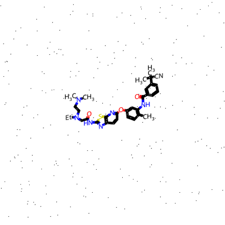 CCN(CCN(C)C)CC(=O)Nc1nc2ccc(Oc3ccc(C)c(NC(=O)c4cccc(C(C)(C)C#N)c4)c3)nc2s1